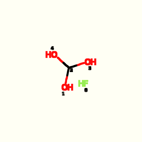 F.OC(O)O